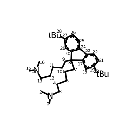 CN(C)CCCCCC1(CCCCCN(C)C)c2cc(C(C)(C)C)ccc2-c2ccc(C(C)(C)C)cc21